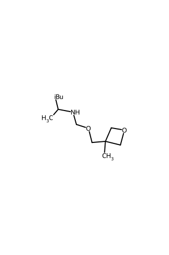 CCC(C)C(C)NCOCC1(C)COC1